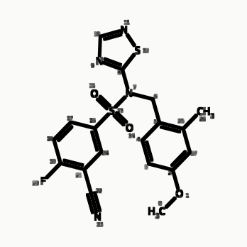 COc1ccc(CN(c2ncns2)S(=O)(=O)c2ccc(F)c(C#N)c2)c(C)c1